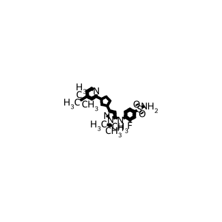 CC(C)(C)c1ccnc(C2CCC(c3cc(Nc4ccc(S(N)(=O)=O)cc4F)n(C(C)(C)C)n3)C2)c1